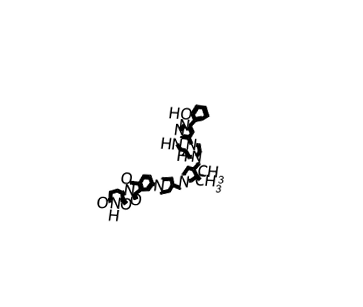 CC1(C)CN(CC2CCN(c3ccc4c(c3)C(=O)N(C3CCC(=O)NC3=O)C4=O)CC2)CCC1CN1CCN2c3cc(-c4ccccc4O)nnc3NC[C@H]2C1